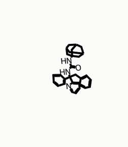 O=C(NC12CC3CC(CC(C3)C1)C2)NC(Cc1ccccc1)(c1ccccc1)c1ccccn1